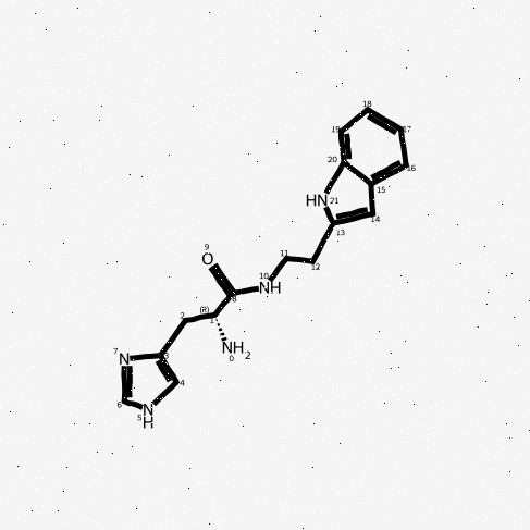 N[C@H](Cc1c[nH]cn1)C(=O)NCCc1cc2ccccc2[nH]1